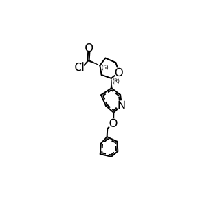 O=C(Cl)[C@H]1CCO[C@@H](c2ccc(OCc3ccccc3)nc2)C1